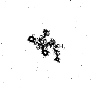 CC(C)[C@H](NC(=O)N(C)Cc1csc(C2CCC2)n1)C(=O)N[C@@H](Cc1ccccc1)C[C@H](O)[C@H](Cc1ccccc1)NC(=O)OCc1cnco1